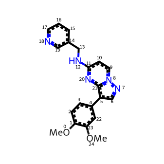 COc1ccc(-c2cnn3ccc(NCc4cccnc4)nc23)cc1OC